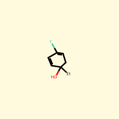 CCC1(O)C=CC(F)=CC1